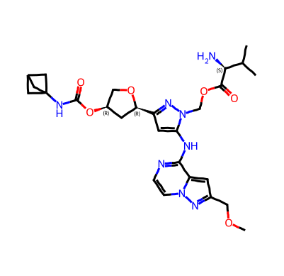 COCc1cc2c(Nc3cc([C@H]4C[C@@H](OC(=O)NC56CC(C5)C6)CO4)nn3COC(=O)[C@@H](N)C(C)C)nccn2n1